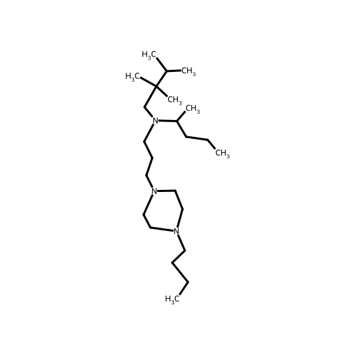 CCCCN1CCN(CCCN(CC(C)(C)C(C)C)C(C)CCC)CC1